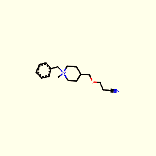 C[N+]1(Cc2ccccc2)CCC(COCCC#N)CC1